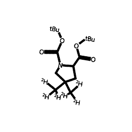 [2H]C([2H])([2H])C1(C([2H])([2H])[2H])CC(C(=O)OC(C)(C)C)N(C(=O)OC(C)(C)C)C1